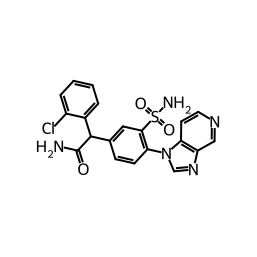 NC(=O)C(c1ccc(-n2cnc3cnccc32)c(S(N)(=O)=O)c1)c1ccccc1Cl